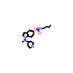 CCCCNC(=O)Oc1ccc2c(ccn2N(C)c2ccncc2)c1